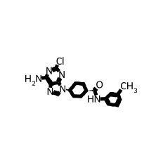 Cc1cccc(NC(=O)[C@H]2CC[C@@H](n3cnc4c(N)nc(Cl)nc43)CC2)c1